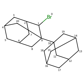 BrC1C2CC3CC(C2)CC1(C12CC4CC(CC(C4)C1)C2)C3